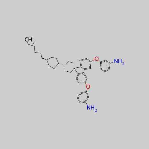 CCCCCC[C@H]1CC[C@H](C2CCC(c3ccc(Oc4cccc(N)c4)cc3)(c3ccc(Oc4cccc(N)c4)cc3)CC2)CC1